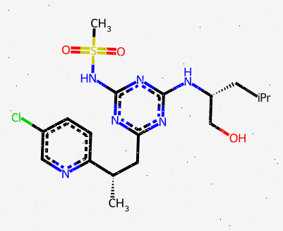 CC(C)C[C@H](CO)Nc1nc(C[C@H](C)c2ccc(Cl)cn2)nc(NS(C)(=O)=O)n1